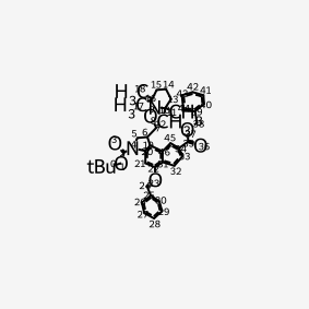 CC(C)(C)OC(=O)N1CC(CON2C(C)(C)CCCC2(C)C)c2c1cc(OCc1ccccc1)c1ccc(C(=O)OCc3ccccc3)cc21